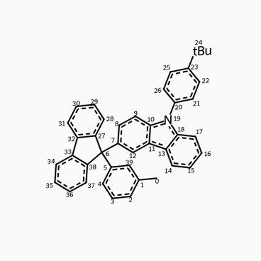 Cc1cccc(C2(c3ccc4c(c3)c3ccccc3n4-c3ccc(C(C)(C)C)cc3)c3ccccc3-c3ccccc32)c1